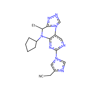 CCC1c2nncn2-c2cnc(-n3cnc(CC#N)c3)nc2N1C1CCCC1